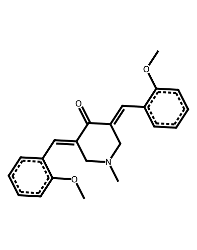 COc1ccccc1C=C1CN(C)CC(=Cc2ccccc2OC)C1=O